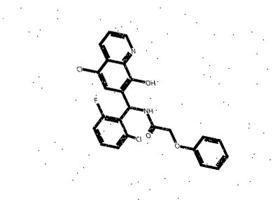 O=C(COc1ccccc1)NC(c1cc(Cl)c2cccnc2c1O)c1c(F)cccc1Cl